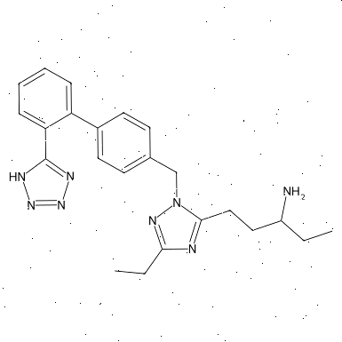 CCc1nc(CCC(N)CC)n(Cc2ccc(-c3ccccc3-c3nnn[nH]3)cc2)n1